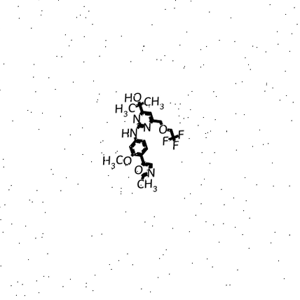 COc1cc(Nc2nc(COCC(F)(F)F)cc(C(C)(C)O)n2)ccc1-c1cnc(C)o1